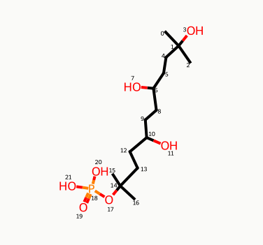 CC(C)(O)CCC(O)CCC(O)CCC(C)(C)OP(=O)(O)O